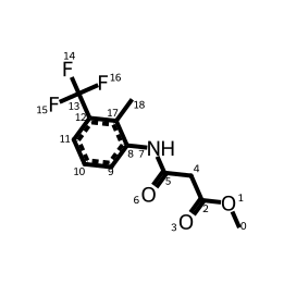 COC(=O)CC(=O)Nc1cccc(C(F)(F)F)c1C